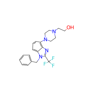 OCCN1CCN(c2cccc3c2nc(C(F)(F)F)n3Cc2ccccc2)CC1